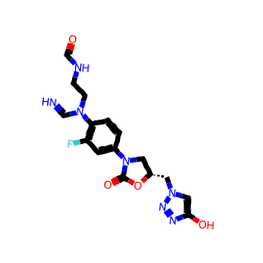 N=CN(CCNC=O)c1ccc(N2C[C@H](Cn3cc(O)nn3)OC2=O)cc1F